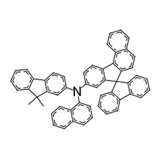 CC1(C)c2ccccc2-c2ccc(N(c3ccc4c(c3)C3(c5ccccc5-c5ccccc53)c3ccc5ccccc5c3-4)c3cccc4ccccc34)cc21